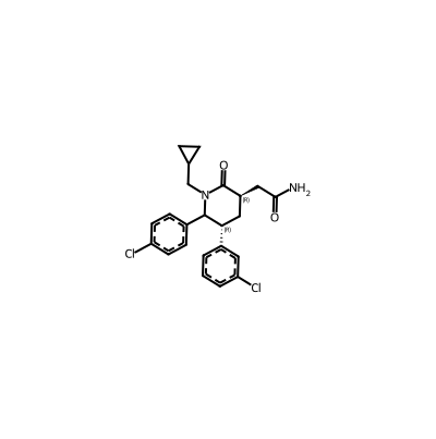 NC(=O)C[C@H]1C[C@H](c2cccc(Cl)c2)C(c2ccc(Cl)cc2)N(CC2CC2)C1=O